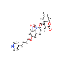 Cc1ccc2oc(=O)c(CC(Cc3cccc(OCCCCc4ccncc4)c3)C(=O)NO)cc2c1